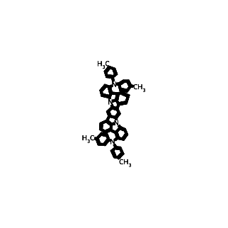 Cc1ccc(N(c2ccc(C)cc2)c2cccc3c2c2cccc4c5cc6c(cc5n3c42)c2cccc3c4c(N(c5ccc(C)cc5)c5ccc(C)cc5)cccc4n6c23)cc1